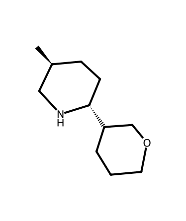 C[C@H]1CC[C@H](C2CCCOC2)NC1